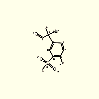 CC(Br)(C=O)c1ccc(F)c(S(C)(=O)=O)c1